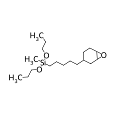 CCCO[Si](C)(CCCCCC1CCC2OC2C1)OCCC